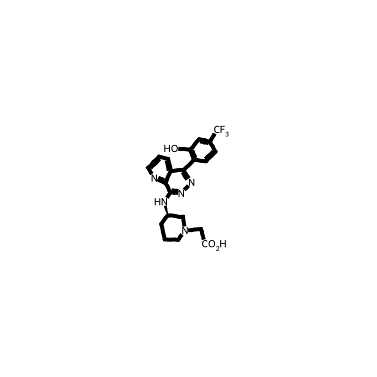 O=C(O)CN1CCC[C@@H](Nc2nnc(-c3ccc(C(F)(F)F)cc3O)c3cccnc23)C1